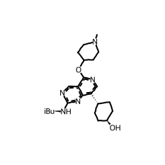 CC[C@H](C)Nc1ncc2c(OC3CCN(C)CC3)ncc([C@H]3CC[C@H](O)CC3)c2n1